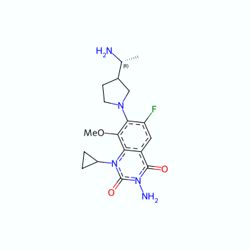 COc1c(N2CCC([C@@H](C)N)C2)c(F)cc2c(=O)n(N)c(=O)n(C3CC3)c12